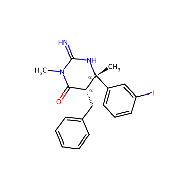 CN1C(=N)N[C@](C)(c2cccc(I)c2)[C@H](Cc2ccccc2)C1=O